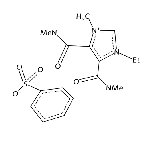 CCn1c[n+](C)c(C(=O)NC)c1C(=O)NC.O=S(=O)([O-])c1ccccc1